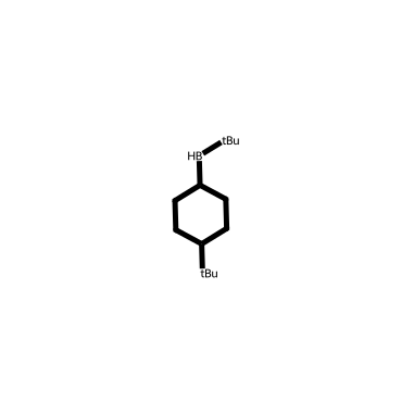 CC(C)(C)BC1CCC(C(C)(C)C)CC1